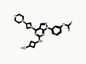 OC1CC(Nc2nc(N3CC(N4CCOCC4)C3)c3cnn(-c4cccc(OC(F)F)c4)c3n2)C1